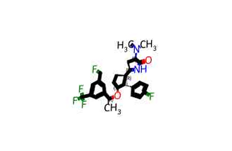 C[C@@H](O[C@H]1CC[C@@H]([C@H]2C[C@@H](N(C)C)C(=O)N2)[C@@H]1c1ccc(F)cc1)c1cc(CF)cc(C(F)(F)F)c1